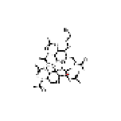 CC(=O)OC[C@H]1O[C@H](O[C@]2(OC(C)=O)[C@H](OC(C)=O)[C@@H](OC(C)=O)CO[C@@H]2COC(C)=O)[C@H](OC(C)=O)[C@@H](OC(C)=O)[C@H]1OCCBr